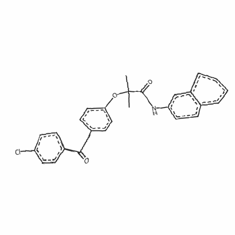 CC(C)(Oc1ccc(C(=O)c2ccc(Cl)cc2)cc1)C(=O)Nc1ccc2ccccc2c1